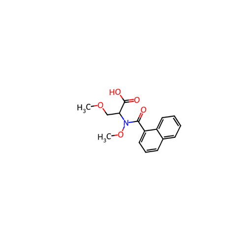 COCC(C(=O)O)N(OC)C(=O)c1cccc2ccccc12